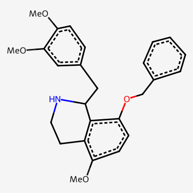 COc1ccc(CC2NCCc3c(OC)ccc(OCc4ccccc4)c32)cc1OC